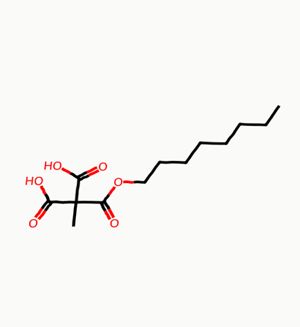 CCCCCCCCOC(=O)C(C)(C(=O)O)C(=O)O